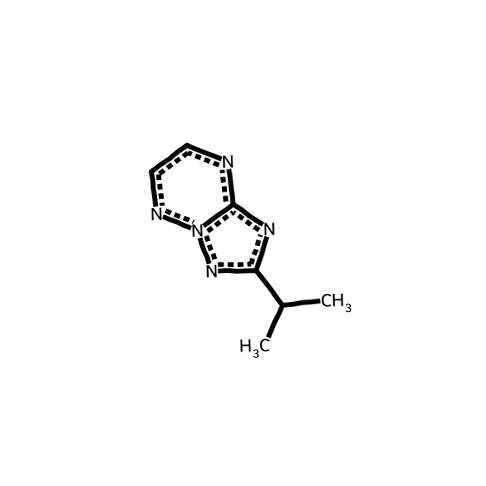 CC(C)c1nc2nccnn2n1